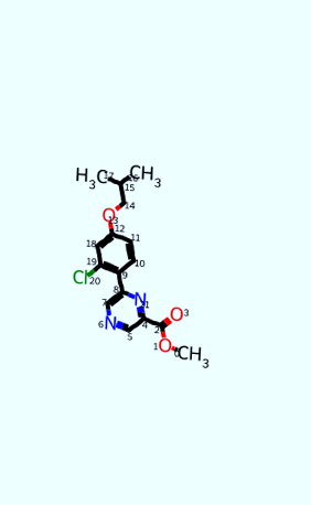 COC(=O)c1cncc(-c2ccc(OCC(C)C)cc2Cl)n1